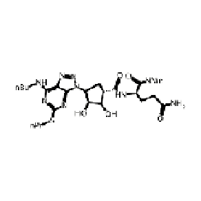 CCCCNc1nc(SCCC)nc2c1nnn2C1C[C@H](C(=O)NC(CCC(N)=O)C(=O)NC)C(O)C1O